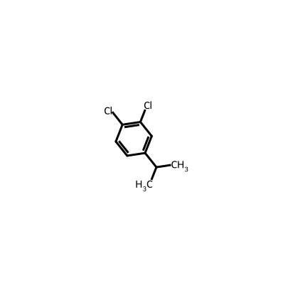 CC(C)c1ccc(Cl)c(Cl)c1